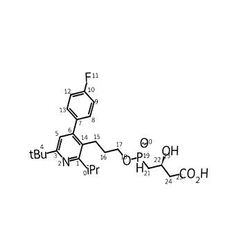 CC(C)c1nc(C(C)(C)C)cc(-c2ccc(F)cc2)c1CCCO[PH](=O)C[C@@H](O)CC(=O)O